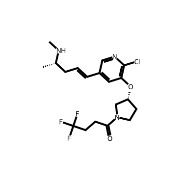 CN[C@@H](C)CC=Cc1cnc(Cl)c(O[C@@H]2CCN(C(=O)CCC(F)(F)F)C2)c1